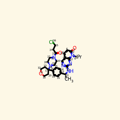 CC(C)n1c(=O)ccc2cnc(N[C@@H](C)c3ccc(C4(N5CCN(C(=O)CCCl)CC5)CCOCC4)cc3)nc21